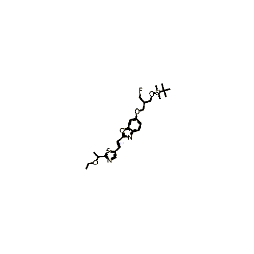 CCOC(C)c1ncc(/C=C/c2nc3ccc(OCC(CF)CO[Si](C)(C)C(C)(C)C)cc3o2)s1